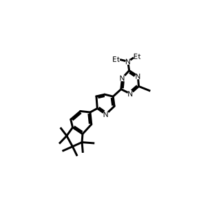 CCN(CC)c1nc(C)nc(-c2ccc(-c3ccc4c(c3)C(C)(C)C(C)(C)C4(C)C)nc2)n1